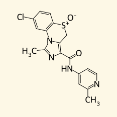 Cc1cc(NC(=O)c2nc(C)n3c2C[S+]([O-])c2ccc(Cl)cc2-3)ccn1